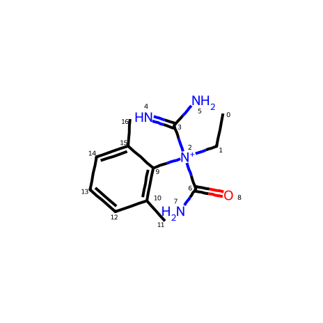 CC[N+](C(=N)N)(C(N)=O)c1c(C)cccc1C